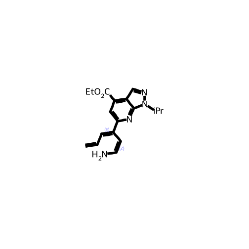 C=C/C=C(\C=C/N)c1cc(C(=O)OCC)c2cnn(C(C)C)c2n1